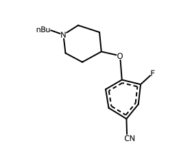 CCCCN1CCC(Oc2ccc(C#N)cc2F)CC1